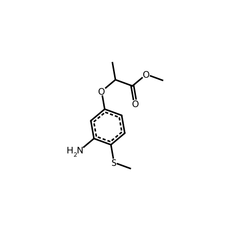 COC(=O)C(C)Oc1ccc(SC)c(N)c1